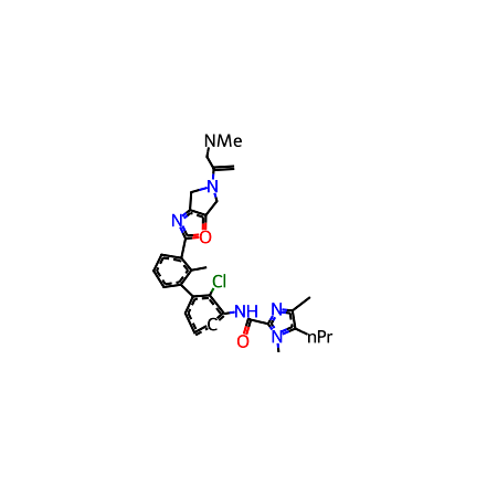 C=C(CNC)N1Cc2nc(-c3cccc(-c4cccc(NC(=O)c5nc(C)c(CCC)n5C)c4Cl)c3C)oc2C1